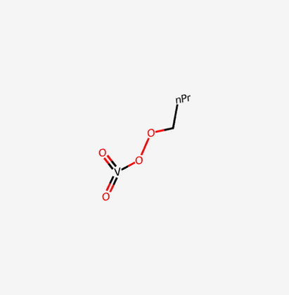 CCCCO[O][V](=[O])=[O]